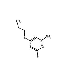 CCCSc1cc(N)nc(Cl)c1